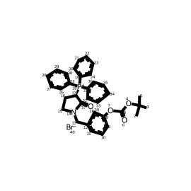 CC(C)(C)OC(=O)Oc1cccc(CN2CC[C@@H]([P+](c3ccccc3)(c3ccccc3)c3ccccc3)C2=O)c1.[Br-]